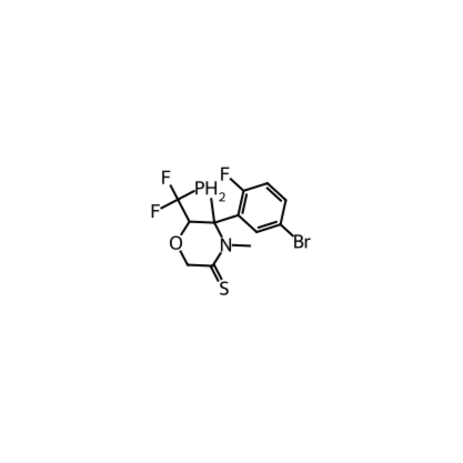 CN1C(=S)COC(C(F)(F)P)C1(C)c1cc(Br)ccc1F